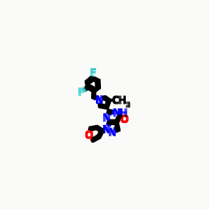 C[C@@H]1CN(Cc2ccc(F)cc2F)C[C@H]1c1nc2c(cnn2C2CCOCC2)c(=O)[nH]1